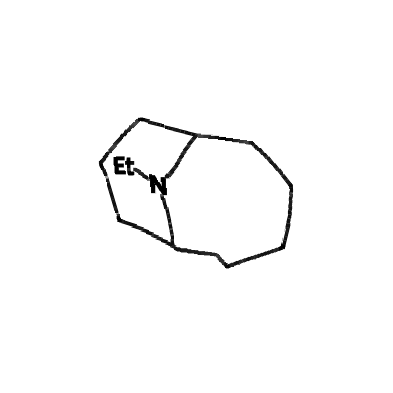 CCN1C2CCCCC1CCC2